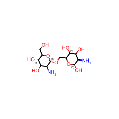 NC1C(O)[C@H](O)C(CO)O[C@H]1OCC1O[C@H](O)C(N)C(O)[C@@H]1O